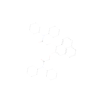 O=C(COC1=Cc2cccc3cccc(c23)C1OCC(=O)N(C1CCCCC1)C1CCCCC1)N(C1CCCCC1)C1CCCCC1